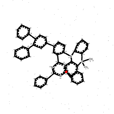 CS1(C)c2ccccc2N(c2ccc(-c3ccc(-c4ccccc4)c(-c4ccccc4)c3)cc2-c2nc(-c3ccccc3)nc(-c3ccccc3)n2)c2ccccc21